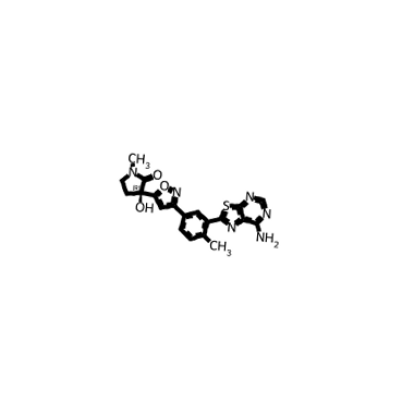 Cc1ccc(-c2cc([C@]3(O)CCN(C)C3=O)on2)cc1-c1nc2c(N)ncnc2s1